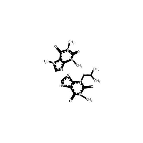 CC(C)Cn1c(=O)n(C)c(=O)c2[nH]cnc21.Cn1c(=O)c2c(ncn2C)n(C)c1=O